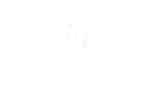 Cl.O=C(N[C@@H]1CCC[C@@H](c2nc3ccccc3[nH]2)C1)c1ccc2c(c1)OCCO2